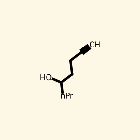 C#CCCC(O)CC[CH2]